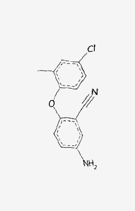 Cc1cc(Cl)ccc1Oc1ccc(N)cc1C#N